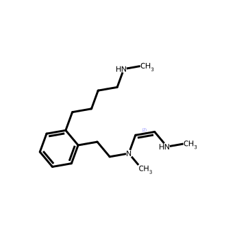 CN/C=C\N(C)CCc1ccccc1CCCCNC